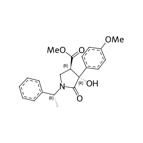 COC(=O)[C@@H]1CN([C@H](C)c2ccccc2)C(=O)[C@]1(O)c1ccc(OC)cc1